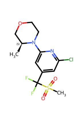 C[C@H]1COCCN1c1cc(C(F)(F)S(C)(=O)=O)cc(Cl)n1